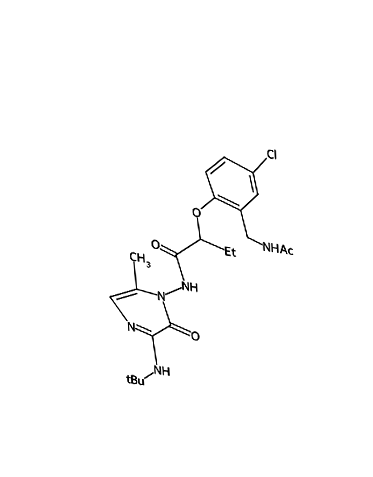 CCC(Oc1ccc(Cl)cc1CNC(C)=O)C(=O)Nn1c(C)cnc(NC(C)(C)C)c1=O